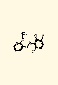 C[C@@H](Oc1cccnc1O[N+](=O)[O-])c1c(Cl)ccc(F)c1Cl